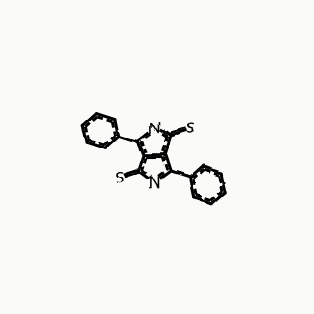 S=c1nc(-c2ccccc2)c2c(=S)nc(-c3ccccc3)c1=2